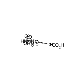 CC(CCN1Cc2cc(C#CC#CC3CN(C(=O)O)C3)sc2C1=O)(C(=O)NO)S(C)(=O)=O